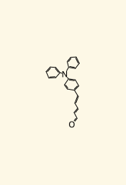 O=CC=CC=Cc1ccc(N(c2ccccc2)c2ccccc2)cc1